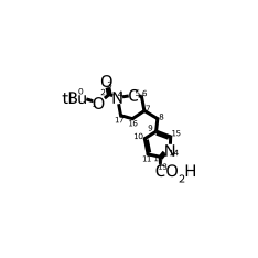 CC(C)(C)OC(=O)N1CCC(Cc2ccc(C(=O)O)nc2)CC1